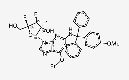 CCOc1nc(NC(c2ccccc2)(c2ccccc2)c2ccc(OC)cc2)nc2c1ncn2[C@@H]1O[C@](F)(CO)[C@@H](F)[C@@]1(C)O